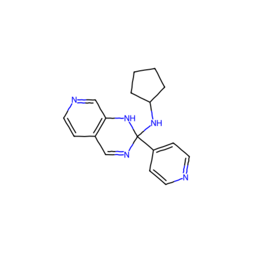 C1=NC(NC2CCCC2)(c2ccncc2)Nc2cnccc21